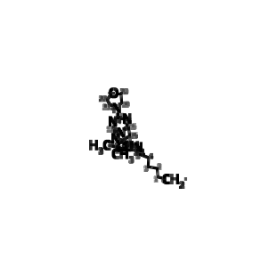 [CH2]CCCC/[C]=N/C1CC(C)(C)N2c3nc(nc(N4CCOCC4)n3)C1C2(C)C